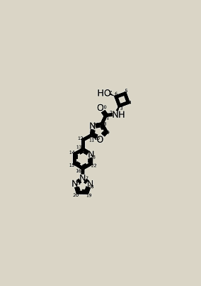 O=C(N[C@@H]1CC[C@H]1O)c1coc(Cc2ccc(-n3nccn3)cn2)n1